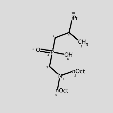 CCCCCCCCN(CCCCCCCC)CP(=O)(O)CC(C)C(C)C